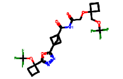 O=C(COC1(COC(F)(F)F)CCC1)NC(=O)C12CC(c3nnc(C4(OC(F)(F)F)CCC4)o3)(C1)C2